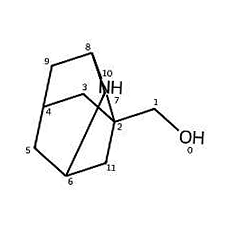 OCC12CC3CC(CC(C3)N1)C2